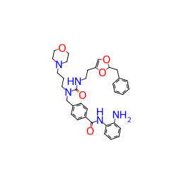 Nc1ccccc1NC(=O)c1ccc(CN(CCCN2CCOCC2)C(=O)NCCC2=COC(Cc3ccccc3)O2)cc1